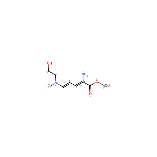 CCCCCCCCOC(=O)/C(N)=C/C=C/N(CC)CCO